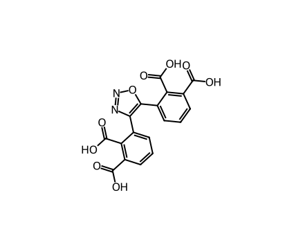 O=C(O)c1cccc(-c2nnoc2-c2cccc(C(=O)O)c2C(=O)O)c1C(=O)O